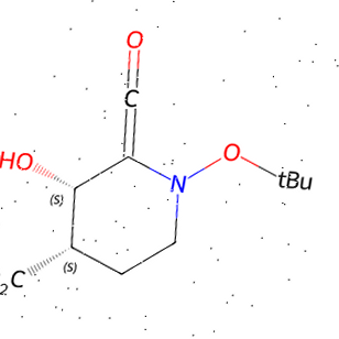 CC(C)(C)ON1CC[C@H](C(=O)O)[C@H](O)C1=C=O